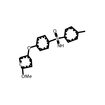 COc1ccc(Oc2ccc(S(=N)(=O)c3ccc(C)cc3)cc2)cc1